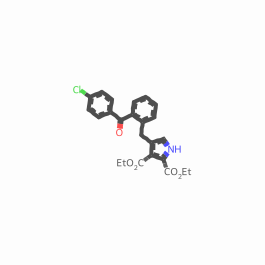 CCOC(=O)c1[nH]cc(Cc2ccccc2C(=O)c2ccc(Cl)cc2)c1C(=O)OCC